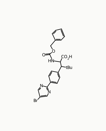 CC(C)(C)C(c1ccc(-c2ncc(Br)cn2)cc1)C(NC(=O)OCc1ccccc1)C(=O)O